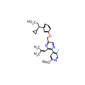 COc1cc(-c2ncc(COc3cccc(C(CC(=O)O)C4CC4)c3)nc2C=C(C)C)c(F)cn1